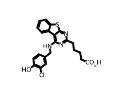 O=C(O)CCCCc1nc(NCc2ccc(O)c(Cl)c2)c2c(n1)sc1ccccc12